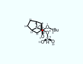 CC(C)(C)OC(=O)N1C2C=C(O[SH](=O)=O)CC1CC2